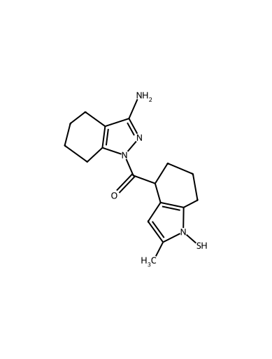 Cc1cc2c(n1S)CCCC2C(=O)n1nc(N)c2c1CCCC2